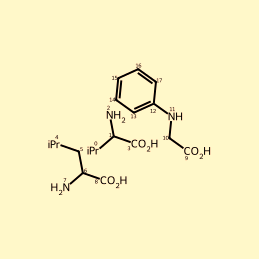 CC(C)C(N)C(=O)O.CC(C)CC(N)C(=O)O.O=C(O)CNc1ccccc1